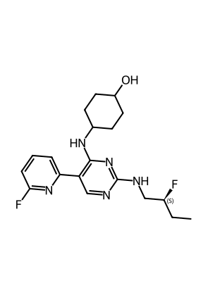 CC[C@H](F)CNc1ncc(-c2cccc(F)n2)c(NC2CCC(O)CC2)n1